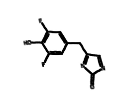 O=C1N=CC(Cc2cc(F)c(O)c(F)c2)=N1